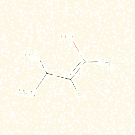 CNC(C)/C(Br)=C(/C)O